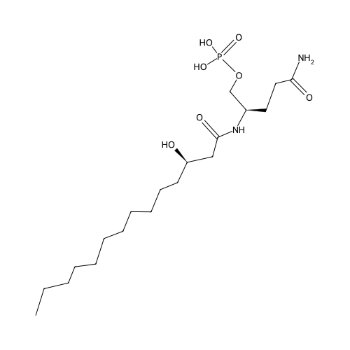 CCCCCCCCCCC[C@@H](O)CC(=O)N[C@H](CCC(N)=O)COP(=O)(O)O